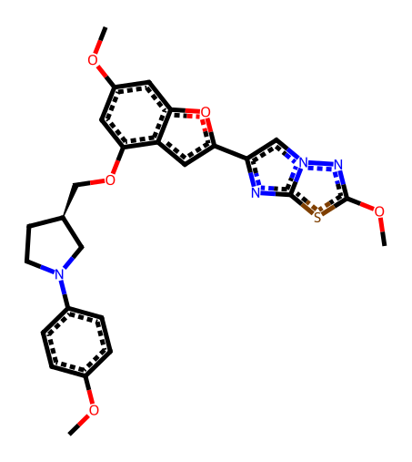 COc1ccc(N2CC[C@@H](COc3cc(OC)cc4oc(-c5cn6nc(OC)sc6n5)cc34)C2)cc1